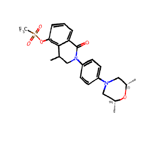 CC1CN(c2ccc(N3C[C@@H](C)O[C@@H](C)C3)cc2)C(=O)c2cccc(OS(=O)(=O)C(F)(F)F)c21